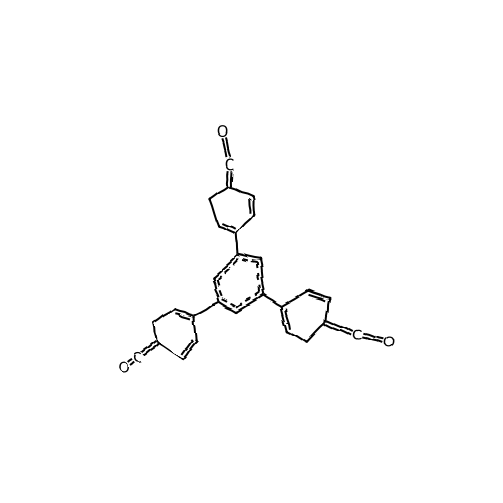 O=C=C1C=CC(c2cc(C3=CCC(=C=O)C=C3)cc(C3=CCC(=C=O)C=C3)c2)=CC1